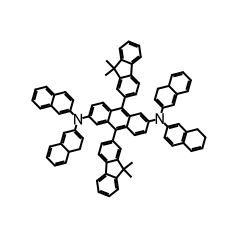 CC1(C)c2ccccc2-c2ccc(-c3c4ccc(N(C5=CCC6C=CC=CC6=C5)c5ccc6ccccc6c5)cc4c(-c4ccc5c(c4)C(C)(C)c4ccccc4-5)c4ccc(N(C5=CCC6C=CC=CC6=C5)c5ccc6c(c5)CCC=C6)cc34)cc21